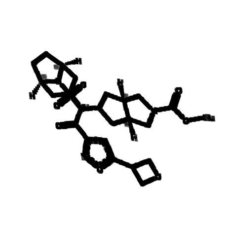 CC(C)(C)OC(=O)N1C[C@H]2CC(CS(=O)(=O)N3[C@@H]4CC[C@H]3CC(NC(=O)c3cc(C5COC5)on3)C4)C[C@H]2C1